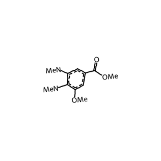 CNc1cc(C(=O)OC)cc(OC)c1NC